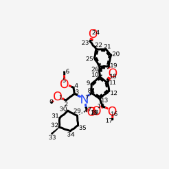 COCC(COC)N(c1cc2c(cc1C(=O)OC)oc1ccc(C=O)cc12)C(=O)[C@H]1CC[C@H](C)CC1